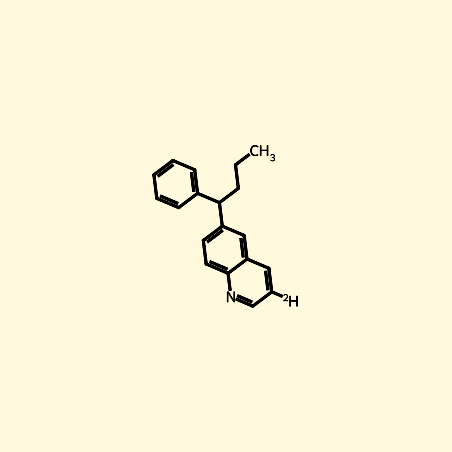 [2H]c1cnc2ccc(C(CCC)c3ccccc3)cc2c1